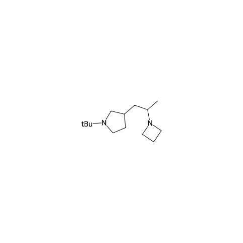 CC(CC1CCN(C(C)(C)C)C1)N1CCC1